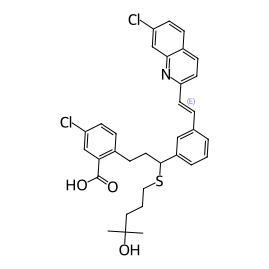 CC(C)(O)CCCSC(CCc1ccc(Cl)cc1C(=O)O)c1cccc(/C=C/c2ccc3ccc(Cl)cc3n2)c1